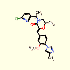 COc1cc(C=C2OC(C)CN([C@@H](C)c3ccc(Cl)nc3)C2=O)ccc1-n1cnc(C)c1